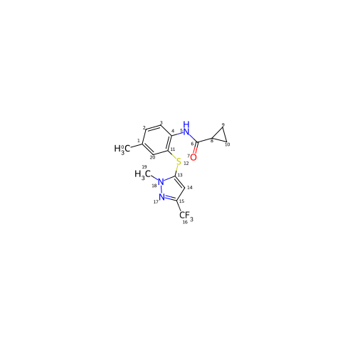 Cc1ccc(NC(=O)C2CC2)c(Sc2cc(C(F)(F)F)nn2C)c1